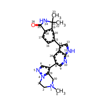 CN1CCn2ncc(-c3cnc4[nH]cc(-c5ccc6c(c5)C(C)(C)NC6=O)c4c3)c2C1